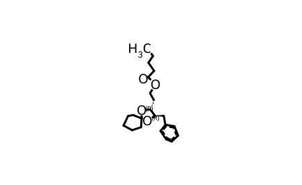 CCCCC(=O)OCC[C@H]1OC2(CCCCC2)O[C@@H]1Cc1ccccc1